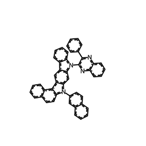 c1ccc(-c2nc3ccccc3nc2-n2c3ccccc3c3cc4c5c6ccccc6ccc5n(-c5ccc6ccccc6c5)c4cc32)cc1